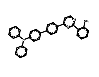 Nc1ccccc1-c1nccc(-c2ccc(-c3ccc(N(c4ccccc4)c4ccccc4)cc3)cc2)n1